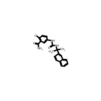 CC(C)(NC(=O)Nc1ccc(Cl)c(C(N)=O)c1)c1ccc2ccccc2c1